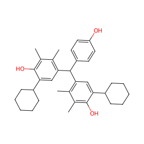 Cc1c(C(c2ccc(O)cc2)c2cc(C3CCCCC3)c(O)c(C)c2C)cc(C2CCCCC2)c(O)c1C